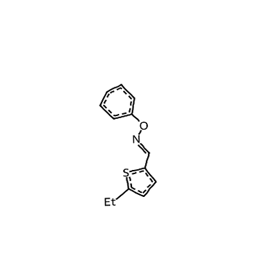 CCc1ccc(C=NOc2ccccc2)s1